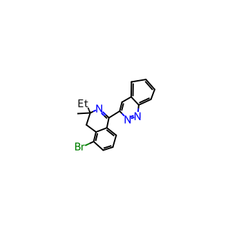 CCC1(C)Cc2c(Br)cccc2C(c2cc3ccccc3nn2)=N1